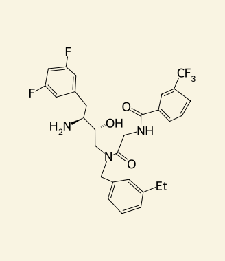 CCc1cccc(CN(C[C@@H](O)[C@@H](N)Cc2cc(F)cc(F)c2)C(=O)CNC(=O)c2cccc(C(F)(F)F)c2)c1